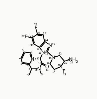 CC(c1ccccn1)N(C)C(=O)Cn1c(N2CC[C@@H](F)[C@H](N)C2)nc2cc(F)c(F)cc21